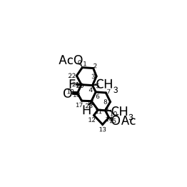 CC(=O)O[C@@H]1CC[C@]2(C)C3CC[C@@]4(C)C(CC[C@@H]4OC(C)=O)[C@@H]3CC(=O)C2(F)C1